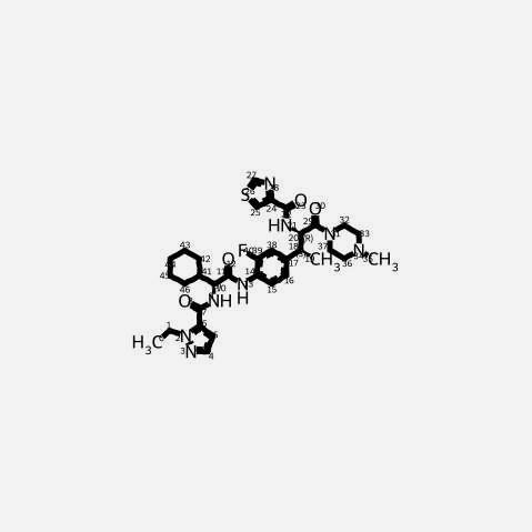 CCn1nccc1C(=O)N[C@H](C(=O)Nc1ccc([C@H](C)[C@@H](NC(=O)c2cscn2)C(=O)N2CCN(C)CC2)cc1F)C1CCCCC1